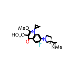 CN[C@@H](C)[C@@H]1CCN(c2cc3c(cc2F)c(=O)c(C(=O)O)c(OC)n3C2CC2)C1